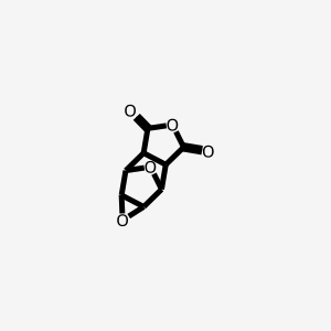 O=C1OC(=O)C2C3OC(C4OC43)C12